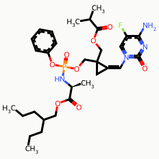 CCCC(CCC)COC(=O)[C@H](C)NP(=O)(OCC1(COC(=O)C(C)C)C/C1=C/n1cc(F)c(N)nc1=O)Oc1ccccc1